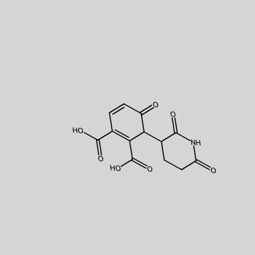 O=C1CCC(C2C(=O)C=CC(C(=O)O)=C2C(=O)O)C(=O)N1